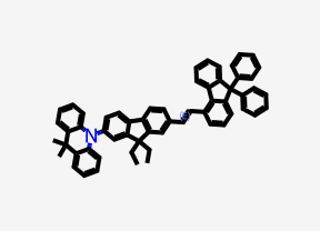 CCC1(CC)c2cc(/C=C/c3cccc4c3-c3ccccc3C4(c3ccccc3)c3ccccc3)ccc2-c2ccc(N3c4ccccc4C(C)(C)c4ccccc43)cc21